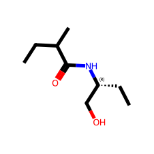 CCC(C)C(=O)N[C@H](CC)CO